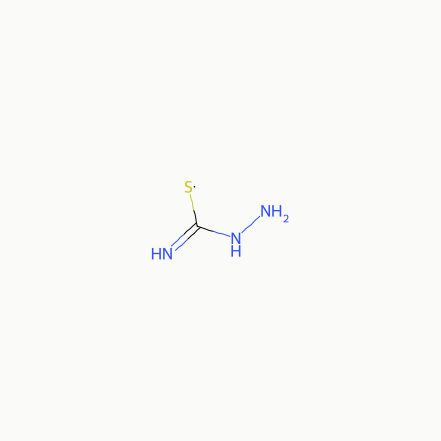 N=C([S])NN